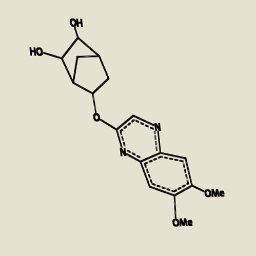 COc1cc2ncc(OC3CC4CC3C(O)C4O)nc2cc1OC